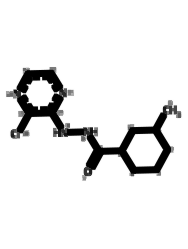 CC1CCCC(C(=O)NNc2nccnc2Cl)C1